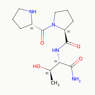 C[C@@H](O)[C@H](NC(=O)[C@@H]1CCCN1C(=O)[C@@H]1CCCN1)C(N)=O